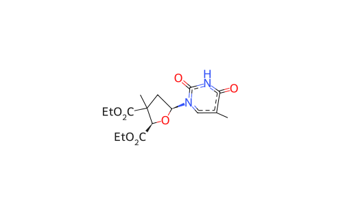 CCOC(=O)[C@@H]1O[C@H](n2cc(C)c(=O)[nH]c2=O)CC1(C)C(=O)OCC